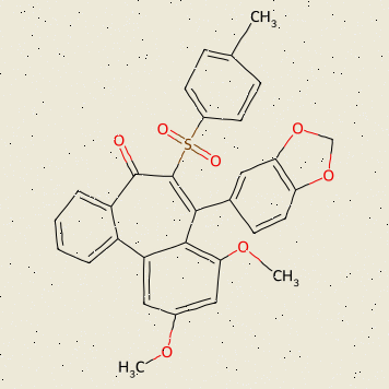 COc1cc(OC)c2c(-c3ccc4c(c3)OCO4)c(S(=O)(=O)c3ccc(C)cc3)c(=O)c3ccccc3c2c1